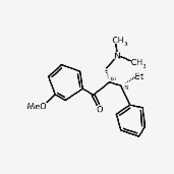 CC[C@H](c1ccccc1)[C@@H](CN(C)C)C(=O)c1cccc(OC)c1